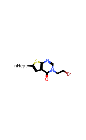 CCCCCCCc1cc2c(=O)n(CCBr)cnc2s1